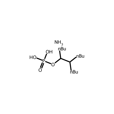 CCCCC(CCCC)C(CCCC)OP(=O)(O)O.N